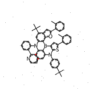 Cc1cc2c3c(c1)N(c1ccc(C(C)(C)C)cc1)c1sc(-c4ccccc4C)cc1B3c1c(cc(C(C)(C)C)c3cc(-c4ccccc4C)oc13)N2c1ccccc1-c1ccccn1